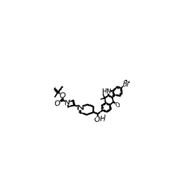 CC(C)(C)OC(=O)N1CC(N2CCC(C(O)c3ccc4c(c3)C(C)(C)c3[nH]c5cc(Br)ccc5c3C4=O)CC2)C1